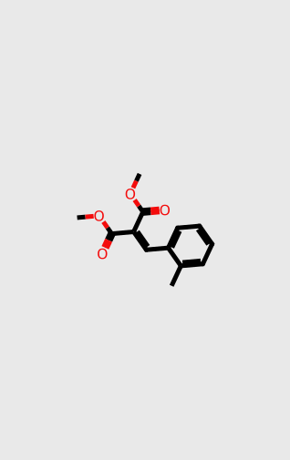 COC(=O)C(=Cc1ccccc1C)C(=O)OC